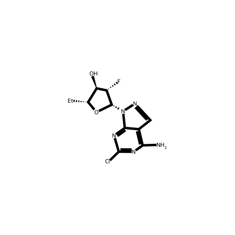 CC[C@H]1O[C@@H](n2ncc3c(N)nc(Cl)nc32)[C@@H](F)[C@@H]1O